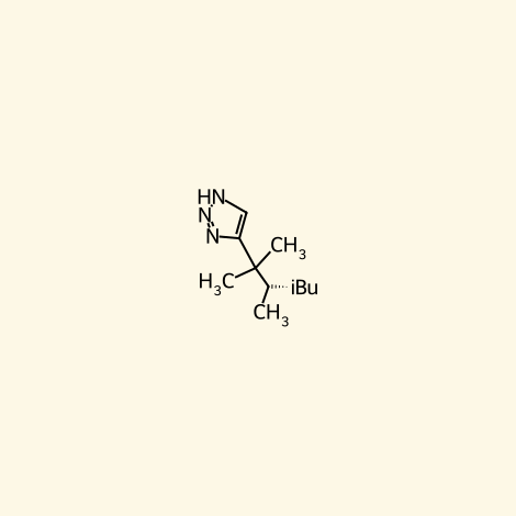 CC[C@@H](C)C(C)C(C)(C)c1c[nH]nn1